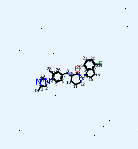 Cc1cn(-c2ccc(/C=C3\CCCN([C@H]4CCc5c(F)cccc54)C3=O)cc2C)cn1